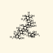 C[C@@H]1OC(CO)[C@@H](O[C@@H]2OC(CO)[C@@H](O[C@@H]3OC(CO[C@H](CO)OC(CO)[C@@H](O)[C@@H](C)O)[C@@H](O)C(O[C@H]4O[C@H](CO)[C@@H](O)C(O)C4O[C@@H]4OC(CO)[C@@H](O)C(O)[C@@H]4C)[C@H]3O)C(O)[C@@H]2C)C(O)[C@@H]1C